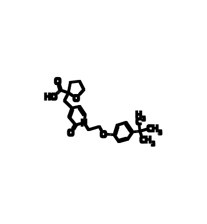 CC(C)(C)c1ccc(OCCn2ccc(CC3(C(=O)O)CCCO3)cc2=O)cc1